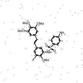 COc1cc(C=Cc2cc(F)c(OC)c(NS(=O)(=O)c3ccc(N)cc3)c2)cc(OC)c1OC